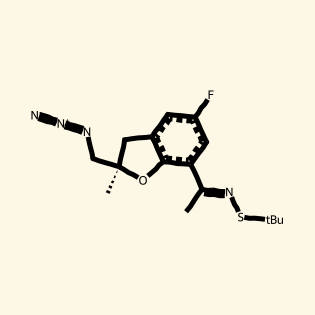 C/C(=N\SC(C)(C)C)c1cc(F)cc2c1O[C@@](C)(CN=[N+]=[N-])C2